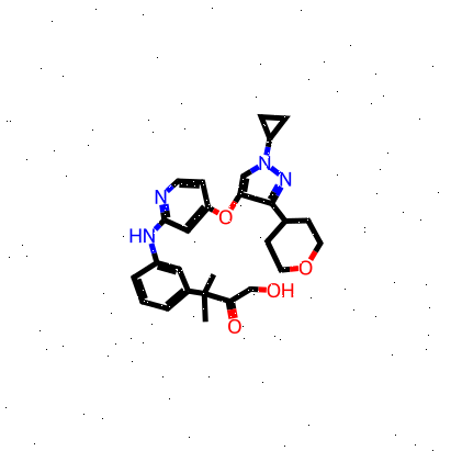 CC(C)(C(=O)CO)c1cccc(Nc2cc(Oc3cn(C4CC4)nc3C3CCOCC3)ccn2)c1